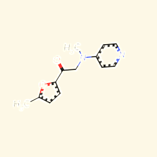 Cc1ccc(C(=O)CN(C)c2ccncc2)o1